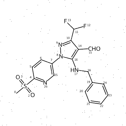 CS(=O)(=O)c1ccc(-n2nc(C(F)F)c(C=O)c2NCc2ccccc2)cn1